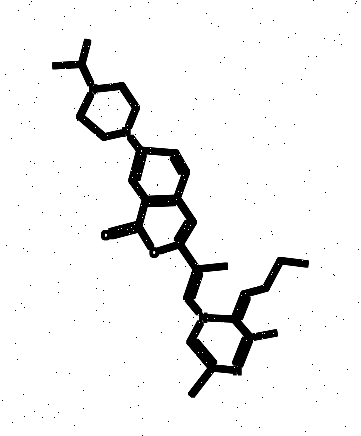 CCC/C=C1\C(C)=NC(C)=CN1/C=C(\C)c1cc2ccc(N3CCN(C(C)C)CC3)cc2c(=O)o1